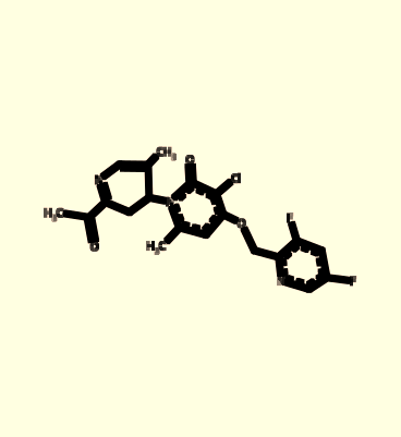 CC(=O)C1=NC=C(C)C(n2c(C)cc(OCc3ncc(F)cc3F)c(Cl)c2=O)C1